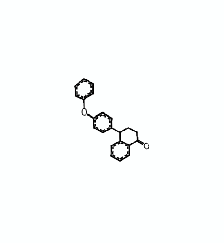 O=C1CCC(c2ccc(Oc3ccccc3)cc2)c2ccccc21